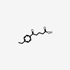 CCc1ccc(C(=O)CCCC(=O)O)cc1